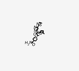 Cc1ccc(N(C(=O)C(C)N2CCC(C(N)=O)CC2)c2cc(-c3nccs3)ncn2)o1